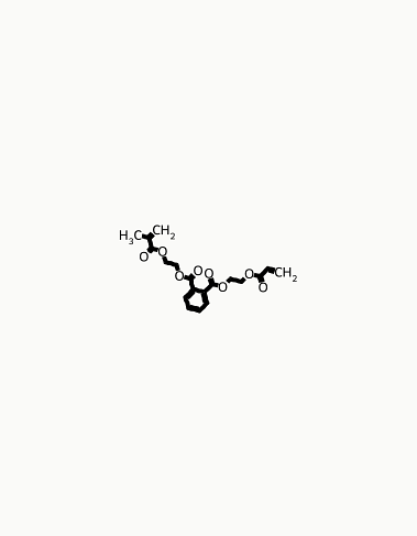 C=CC(=O)OCCOC(=O)c1ccccc1C(=O)OCCOC(=O)C(=C)C